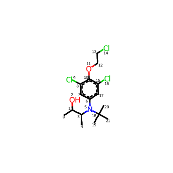 CC(O)[C@H](C)N(c1cc(Cl)c(OCCCl)c(Cl)c1)C(C)(C)C